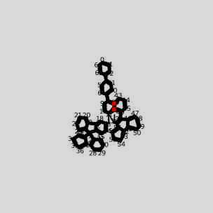 c1ccc(-c2ccc(-c3ccc(N(c4ccc5c(c4)-c4ccccc4C5(c4ccccc4)c4ccccc4)c4c(-c5ccccc5)c5ccccc5c5ccccc45)cc3)cc2)cc1